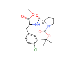 COC(=O)C(Cc1ccc(Cl)cc1)NC(=O)[C@@H]1CCCN1C(=O)OC(C)(C)C